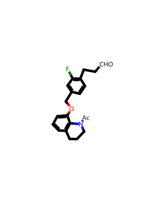 CC(=O)N1CCCc2cccc(OCc3ccc(CCC=O)c(F)c3)c21